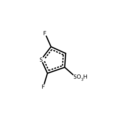 O=S(=O)(O)c1cc(F)sc1F